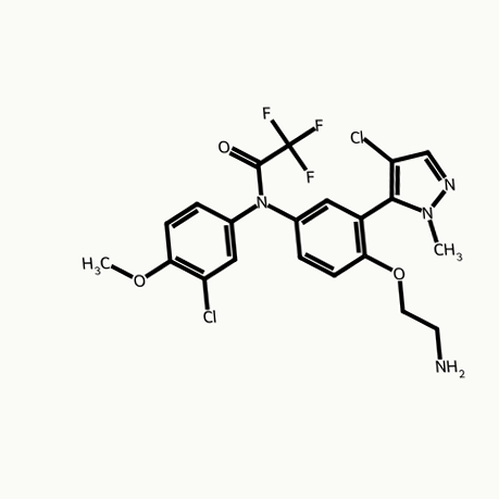 COc1ccc(N(C(=O)C(F)(F)F)c2ccc(OCCN)c(-c3c(Cl)cnn3C)c2)cc1Cl